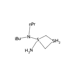 CCCN(C(C)CC)S1(N)C[SiH2]C1